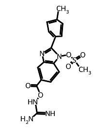 Cc1ccc(-c2nc3cc(C(=O)ONC(=N)N)ccc3n2OS(C)(=O)=O)cc1